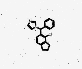 Clc1c(C(c2ccccc2)n2ccnc2)ccc2c1CCC2